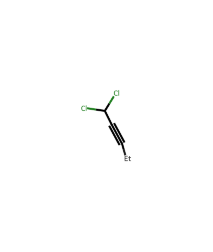 CCC#CC(Cl)Cl